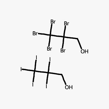 OCC(Br)(Br)C(Br)(Br)Br.OCC(I)(I)C(I)(I)I